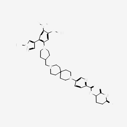 COc1cc(N2CCC(CN3CCC4(CC3)CCN(c3ccc(C(=O)NC5CCC(=O)NC5=O)nc3)CC4)CC2)c(-c2cnn(C)c2)cc1[N+](=O)[O-]